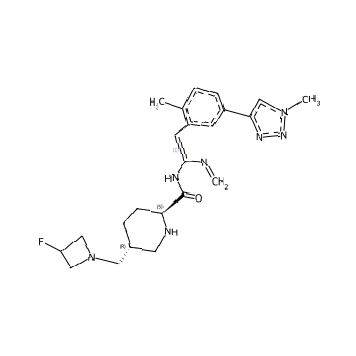 C=N/C(=C\c1cc(-c2cn(C)nn2)ccc1C)NC(=O)[C@@H]1CC[C@@H](CN2CC(F)C2)CN1